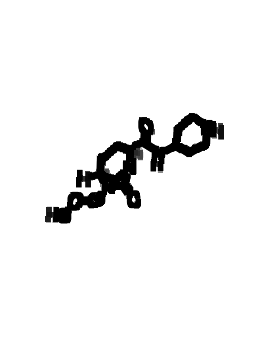 O=C(NC1CCNCC1)[C@@H]1CC[C@@H]2CN1C(=O)N2OOO